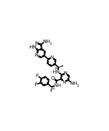 C[C@H](NC(=O)c1nc(N)cnc1N[C@H](C)c1ccc(-c2cnc3[nH]nc(N)c3c2)nc1)c1ccc(F)c(F)c1